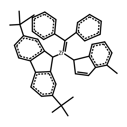 Cc1cccc2c1C=C[CH]2[Zr](=[C](c1ccccc1)c1ccccc1)[CH]1c2cc(C(C)(C)C)ccc2-c2ccc(C(C)(C)C)cc21